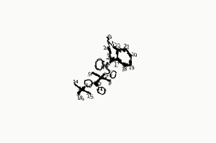 Cn1cc(S(=O)(=O)C(C)(C)C(=O)OC(C)(C)C)c2ccccc21